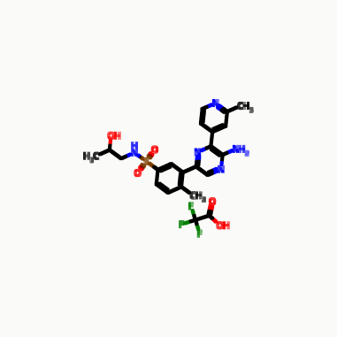 Cc1cc(-c2nc(-c3cc(S(=O)(=O)NCC(C)O)ccc3C)cnc2N)ccn1.O=C(O)C(F)(F)F